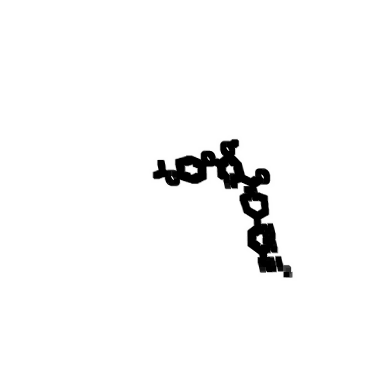 COc1cc(C(=O)N2CCC(c3ccc(N)nn3)CC2)ncc1Oc1ccc(OC(C)C)cc1